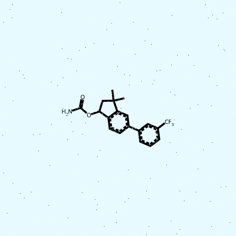 CC1(C)CC(OC(N)=O)c2ccc(-c3cccc(C(F)(F)F)c3)cc21